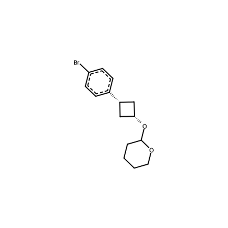 Brc1ccc([C@H]2C[C@@H](OC3CCCCO3)C2)cc1